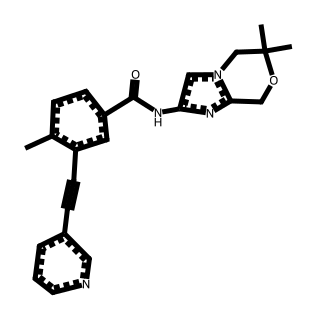 Cc1ccc(C(=O)Nc2cn3c(n2)COC(C)(C)C3)cc1C#Cc1cccnc1